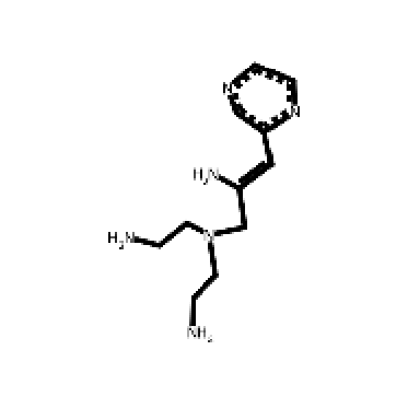 NCCN(CCN)CC(N)=Cc1cnccn1